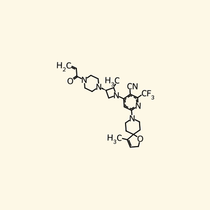 C=CC(=O)N1CCN([C@@H]2CN(c3cc(N4CCC5(CC4)OCC=C5C)nc(C(F)(F)F)c3C#N)[C@@H]2C)CC1